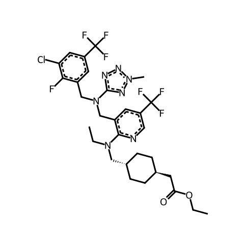 CCOC(=O)C[C@H]1CC[C@H](CN(CC)c2ncc(C(F)(F)F)cc2CN(Cc2cc(C(F)(F)F)cc(Cl)c2F)c2nnn(C)n2)CC1